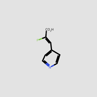 O=C(O)/C(F)=C/c1ccncc1